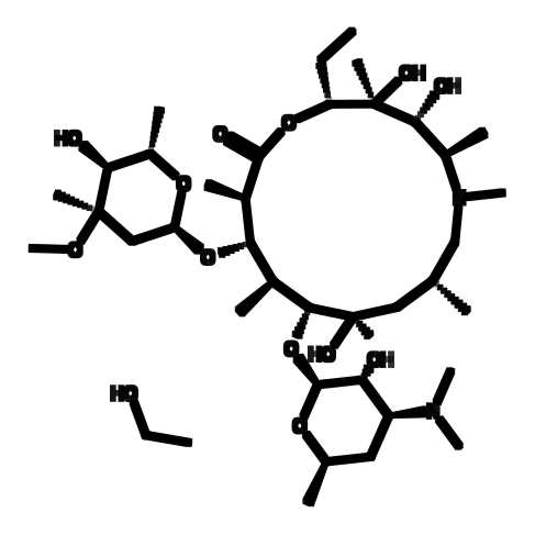 CCO.CC[C@H]1OC(=O)[C@H](C)[C@@H](O[C@H]2C[C@@](C)(OC)[C@@H](O)[C@H](C)O2)[C@H](C)[C@@H](O[C@@H]2O[C@H](C)C[C@H](N(C)C)[C@H]2O)[C@](C)(O)C[C@@H](C)CN(C)[C@H](C)[C@@H](O)[C@]1(C)O